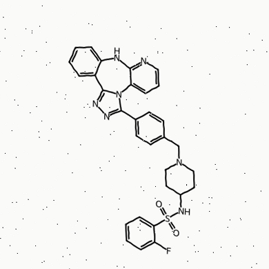 O=S(=O)(NC1CCN(Cc2ccc(-c3nnc4n3-c3cccnc3Nc3ccccc3-4)cc2)CC1)c1ccccc1F